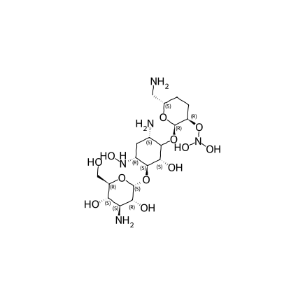 NC[C@@H]1CC[C@@H](ON(O)O)[C@@H](OC2[C@@H](N)C[C@@H](NO)[C@H](O[C@H]3O[C@H](CO)[C@@H](O)[C@H](N)[C@H]3O)[C@H]2O)O1